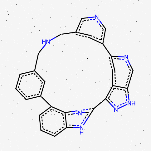 c1cc2cc(c1)-c1cccc3[nH]c(nc13)-c1n[nH]c3cnc(cc13)-c1cncc(c1)CNC2